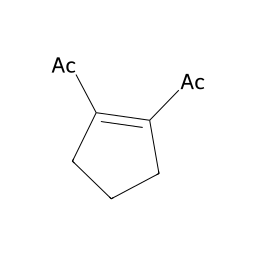 CC(=O)C1=C(C(C)=O)CCC1